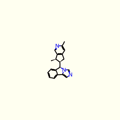 Cc1cc2c(cn1)[C@H](C)[C@H]([C@@H]1c3ccccc3-c3cncn31)C2